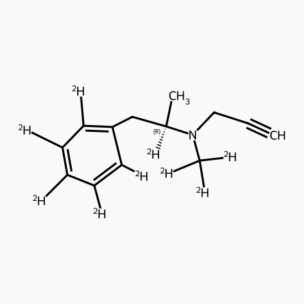 [2H]c1c([2H])c([2H])c(C[C@@]([2H])(C)N(CC#C)C([2H])([2H])[2H])c([2H])c1[2H]